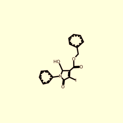 O=C(OCc1ccccc1)C1=C(I)C(=O)N(c2ccccc2)C1O